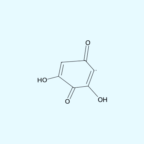 O=C1[C]=C(O)C(=O)C(O)=C1